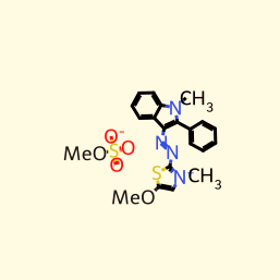 COS(=O)(=O)[O-].COc1c[n+](C)c(N=Nc2c(-c3ccccc3)n(C)c3ccccc23)s1